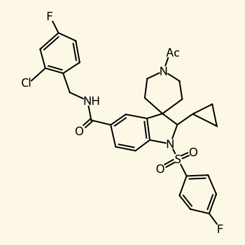 CC(=O)N1CCC2(CC1)c1cc(C(=O)NCc3ccc(F)cc3Cl)ccc1N(S(=O)(=O)c1ccc(F)cc1)C2C1CC1